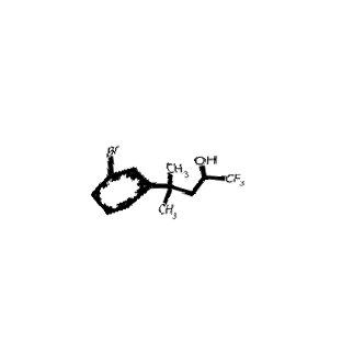 CC(C)(CC(O)C(F)(F)F)c1cccc(Br)c1